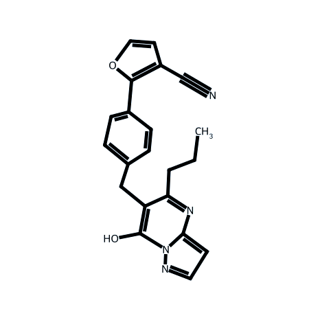 CCCc1nc2ccnn2c(O)c1Cc1ccc(-c2occc2C#N)cc1